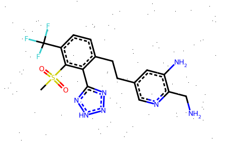 CS(=O)(=O)c1c(C(F)(F)F)ccc(CCc2cnc(CN)c(N)c2)c1-c1nn[nH]n1